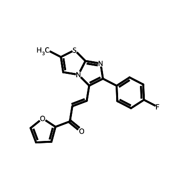 Cc1cn2c(C=CC(=O)c3ccco3)c(-c3ccc(F)cc3)nc2s1